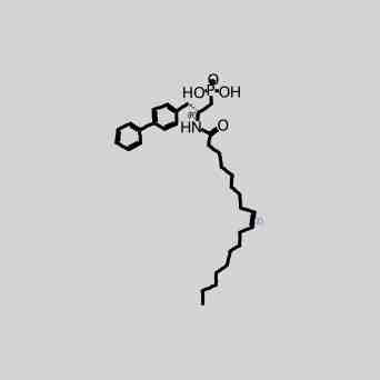 CCCCCCCC/C=C\CCCCCCCC(=O)N[C@H](Cc1ccc(-c2ccccc2)cc1)CP(=O)(O)O